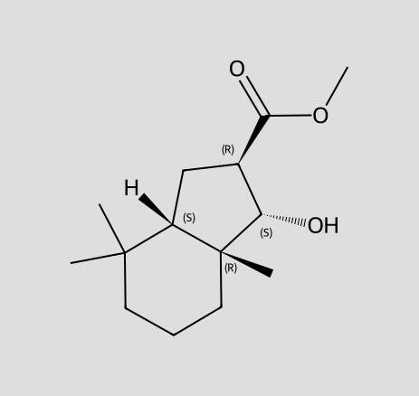 COC(=O)[C@@H]1C[C@H]2C(C)(C)CCC[C@@]2(C)[C@H]1O